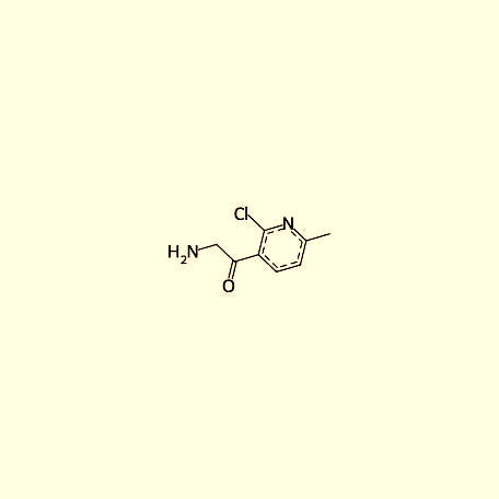 Cc1ccc(C(=O)CN)c(Cl)n1